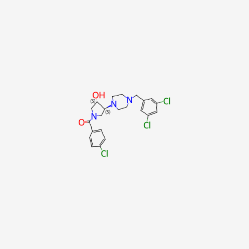 O=C(c1ccc(Cl)cc1)N1C[C@H](O)[C@@H](N2CCN(Cc3cc(Cl)cc(Cl)c3)CC2)C1